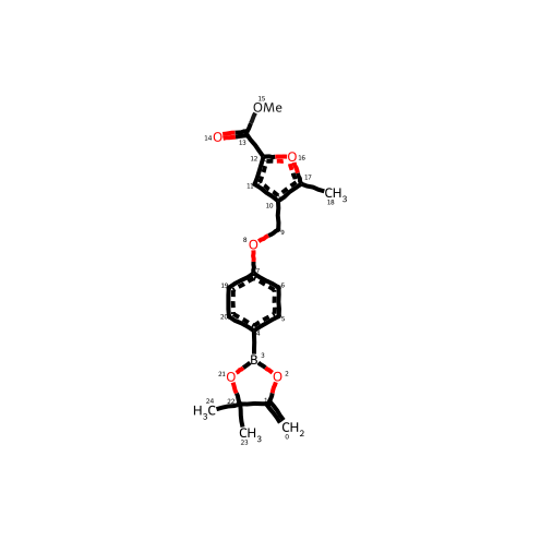 C=C1OB(c2ccc(OCc3cc(C(=O)OC)oc3C)cc2)OC1(C)C